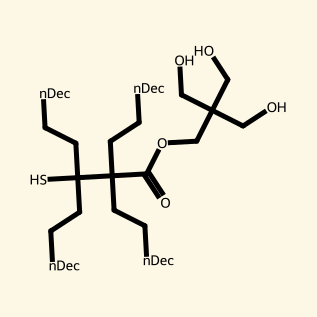 CCCCCCCCCCCCC(S)(CCCCCCCCCCCC)C(CCCCCCCCCCCC)(CCCCCCCCCCCC)C(=O)OCC(CO)(CO)CO